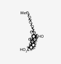 COCCOCCOCCOCCC(=O)O[C@H]1CC[C@]2(C)[C@H]3C(=O)C=C4[C@@H]5C[C@@](C)(C(=O)O)CC[C@]5(C)CC[C@@]4(C)[C@]3(C)CC[C@H]2[C@]1(C)C=O